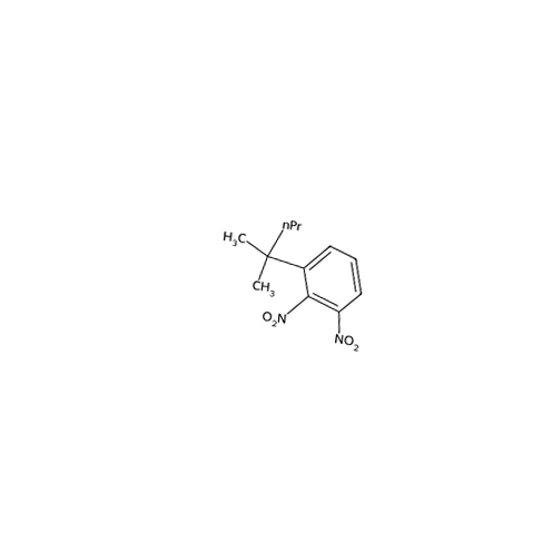 CCCC(C)(C)c1cccc([N+](=O)[O-])c1[N+](=O)[O-]